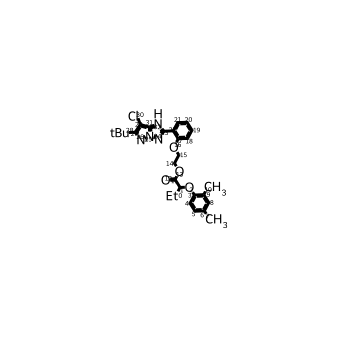 CCC(Oc1ccc(C)cc1C)C(=O)OCCOc1ccccc1-c1nn2nc(C(C)(C)C)c(Cl)c2[nH]1